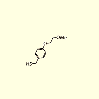 COCCOc1ccc(CS)cc1